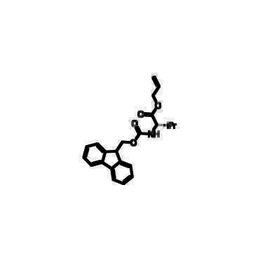 C=CCOC(=O)[C@@H](NC(=O)OCC1c2ccccc2-c2ccccc21)C(C)C